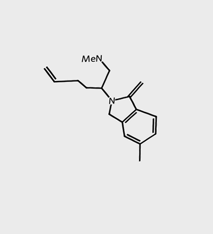 C=CCCC(CNC)N1Cc2cc(C)ccc2C1=C